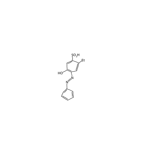 CCc1cc(N=Nc2ccccc2)c(O)cc1S(=O)(=O)O